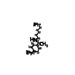 CC(C)CCCCCNC(C)C1CCC(C(C)C)CC1